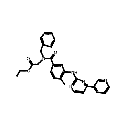 CCOC(=O)CN(Cc1ccccc1)C(=O)c1ccc(C)c(Nc2nccc(-c3cccnc3)n2)c1